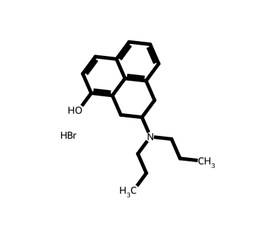 Br.CCCN(CCC)C1Cc2cccc3ccc(O)c(c23)C1